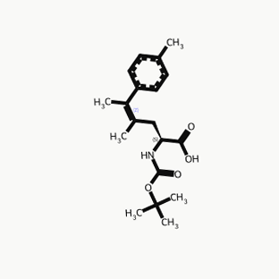 C/C(C[C@H](NC(=O)OC(C)(C)C)C(=O)O)=C(\C)c1ccc(C)cc1